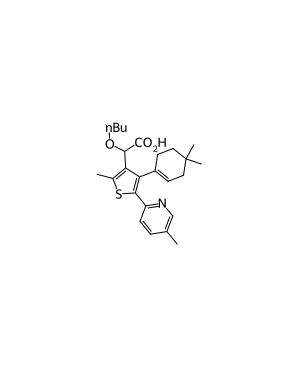 CCCCOC(C(=O)O)c1c(C)sc(-c2ccc(C)cn2)c1C1=CCC(C)(C)CC1